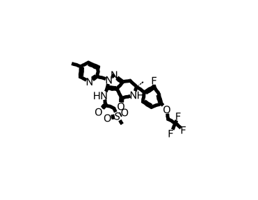 Cc1ccc(-n2nc3c(c2NC(=O)CS(C)(=O)=O)C(=O)N[C@](C)(c2ccc(OCC(F)(F)F)cc2F)C3)nc1